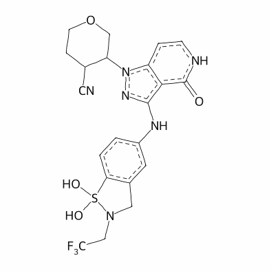 N#CC1CCOCC1n1nc(Nc2ccc3c(c2)CN(CC(F)(F)F)S3(O)O)c2c(=O)[nH]ccc21